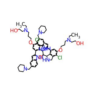 CCN(CCO)CCCOc1cc(-c2cc3cc(CN4CCCCC4)ccc3[nH]2)c2c(c1Cl)CNC2C(=O)C1NCc2c(Cl)c(OCCCN(CC)CCO)cc(-c3cc4cc(CN5CCCCC5)ccc4[nH]3)c21